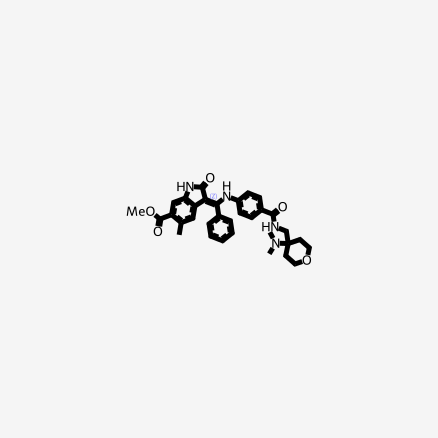 COC(=O)c1cc2c(cc1C)/C(=C(/Nc1ccc(C(=O)NCC3(N(C)C)CCOCC3)cc1)c1ccccc1)C(=O)N2